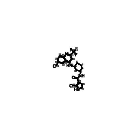 O=C(N[C@@H]1CCC[C@H](Nc2cc(C(F)(F)F)nc3ccc(Cl)cc23)C1)c1cc[nH]c1Cl